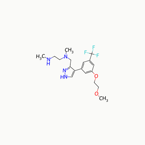 CNCCN(C)Cc1n[nH]cc1-c1cc(OCCOC)cc(C(F)(F)F)c1